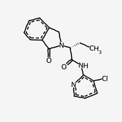 CC[C@H](C(=O)Nc1ncccc1Cl)N1Cc2ccccc2C1=O